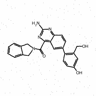 Nc1nc(C(=O)N2Cc3ccccc3C2)c2cc(-c3ccc(O)cc3CO)ccc2n1